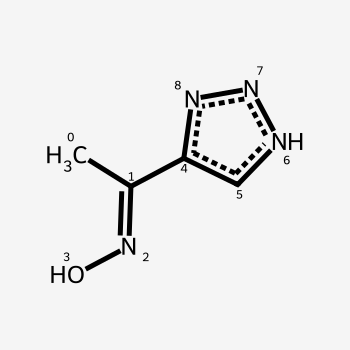 CC(=NO)c1c[nH]nn1